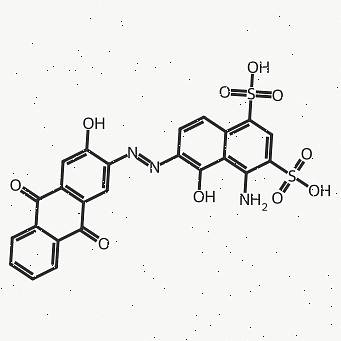 Nc1c(S(=O)(=O)O)cc(S(=O)(=O)O)c2ccc(N=Nc3cc4c(cc3O)C(=O)c3ccccc3C4=O)c(O)c12